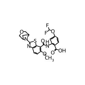 COc1ccc2nc(N3C4COCC3C4)sc2c1C(=O)Nc1cc(OC(F)F)ccc1C(=O)O